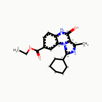 CCOC(=O)c1ccc2[nH]c(=O)c3c(C)nc(C4CCCCC4)n3c2c1